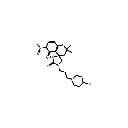 CC1(C)CC2(CN(CCCN3CCC(O)CC3)C(=O)N2)C2=C(C=CC([N+](=O)[O-])C2=O)O1